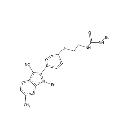 CCNC(=O)NCCOc1ccc(-c2c(C#N)c3ccc(C)cc3n2CC)cc1